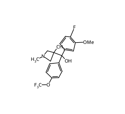 COc1cc(C(O)(c2ccc(OC(F)(F)F)cc2)C2(C)CN(C)C2)ccc1F